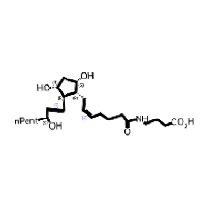 CCCCC[C@H](O)/C=C/[C@@H]1[C@@H](C/C=C\CCCC(=O)NCCCC(=O)O)[C@@H](O)C[C@H]1O